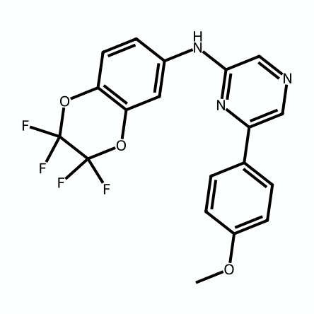 COc1ccc(-c2cncc(Nc3ccc4c(c3)OC(F)(F)C(F)(F)O4)n2)cc1